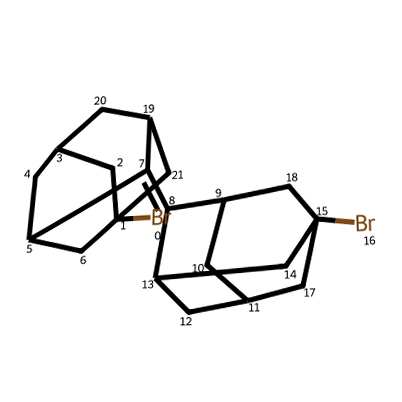 BrC12CC3CC(C1)C(=C1C4CC5CC1CC(Br)(C5)C4)C(C3)C2